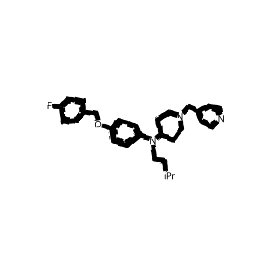 CC(C)CCN(c1ccc(OCc2ccc(F)cc2)cc1)C1CCN(Cc2ccncc2)CC1